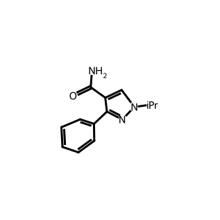 CC(C)n1cc(C(N)=O)c(-c2ccccc2)n1